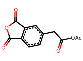 CC(=O)OC(=O)Cc1ccc2c(c1)C(=O)OC2=O